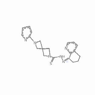 S=C(N/N=C1/CCCc2cccnc21)N1CC2(C1)CN(c1ccccn1)C2